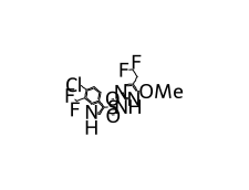 COc1nc(NS(=O)(=O)c2c[nH]c3c(C(F)F)c(Cl)ccc23)ncc1CC(F)F